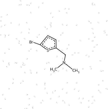 CN(C)Cc1ccc(Br)s1